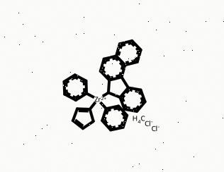 C.C1=CC[C]([Zr+2]([c]2ccccc2)([c]2ccccc2)[CH]2c3ccccc3-c3c2ccc2ccccc32)=C1.[Cl-].[Cl-]